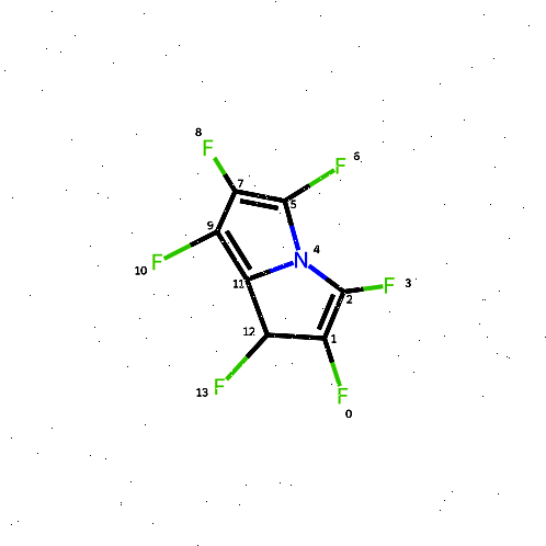 FC1=C(F)n2c(F)c(F)c(F)c2C1F